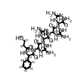 N=C(N)NC(NC(=O)C(NC(=N)N)NC(=O)C(NC(=N)N)NC(=O)C(NC(=N)N)NC(=O)C(NC(=O)CCO)c1ccccc1)C(N)=O